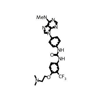 CNc1ncnc2c1ncn2-c1ccc(NC(=O)Nc2ccc(OCCN(C)C)c(C(F)(F)F)c2)cc1